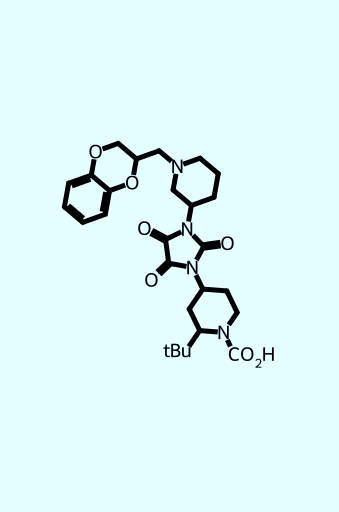 CC(C)(C)C1CC(N2C(=O)C(=O)N(C3CCCN(CC4COc5ccccc5O4)C3)C2=O)CCN1C(=O)O